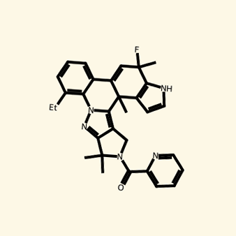 CCc1cccc2c1-n1nc3c(c1C1(C)C2=CC(C)(F)c2[nH]ccc21)CN(C(=O)c1ccccn1)C3(C)C